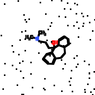 CN(C)CCCC1(O)c2ccccc2CCC2C=CC=CC21